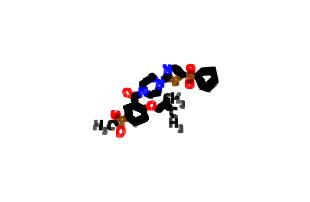 CC(C)COc1ccc(S(C)(=O)=O)cc1C(=O)N1CCN(c2ncc(S(=O)(=O)c3ccccc3)s2)CC1